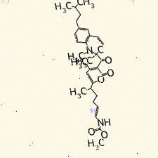 COC(=O)N/C=C/CCC(C)c1cc(C)c(C(=O)C2(C)CC=Cc3cc(CCC(C)C)ccc3N2C)c(=O)o1